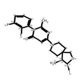 Cc1nc(N2CCC3(CC2)CO[C@@H](I)[C@H]3N)cc(=O)n1-c1cccc(F)c1F